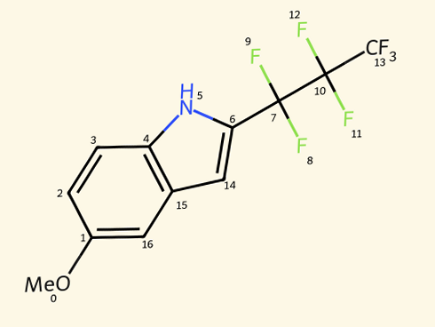 COc1ccc2[nH]c(C(F)(F)C(F)(F)C(F)(F)F)cc2c1